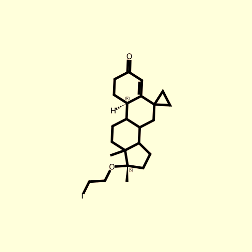 CC12CCC3C(CC4(CC4)C4=CC(=O)CC[C@@H]43)C1CC[C@]2(C)OCCI